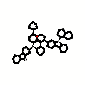 c1ccc(-c2ccc(N(c3ccc4c(c3)oc3ccccc34)c3ccccc3-c3ccccc3-c3ccc4c5ccccc5n(-c5cccc6ccccc56)c4c3)cc2)cc1